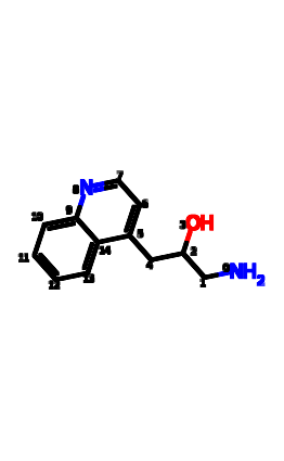 NCC(O)Cc1ccnc2ccccc12